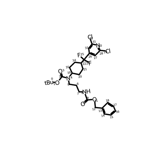 CC(C)(C)OC(=O)N(CCCNC(=O)OCc1ccccc1)C1CCC(C(F)(F)c2cc(Cl)nc(Cl)c2)CC1